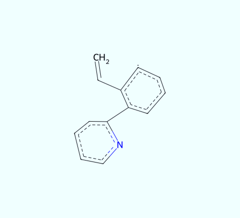 C=Cc1[c]cccc1-c1ccccn1